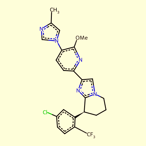 COc1nc(-c2cn3c(n2)[C@H](c2cc(Cl)ccc2C(F)(F)F)CCC3)ccc1-n1cnc(C)c1